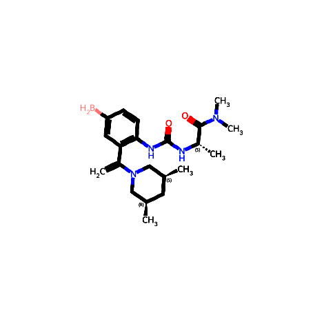 Bc1ccc(NC(=O)N[C@@H](C)C(=O)N(C)C)c(C(=C)N2C[C@H](C)C[C@H](C)C2)c1